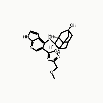 COCc1noc(-c2cnc3[nH]ccc3c2N[C@H]2[C@@H]3CC4C[C@H]2C[C@@](O)(C4)C3)n1